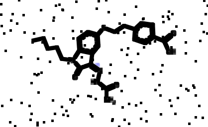 CCCCCN1C(=O)/C(=N\NC(N)=O)c2cc(SCCc3ccc(C(=O)O)cc3)ccc21